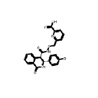 O=C(O)c1cccc(CONC(=O)[C@@H]2c3ccccc3C(=O)N[C@H]2c2ccc(Cl)cc2)n1